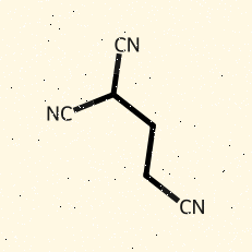 N#CCCC(C#N)C#N